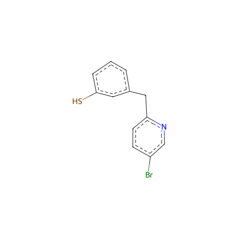 Sc1cccc(Cc2ccc(Br)cn2)c1